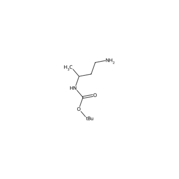 CC(CCN)NC(=O)OC(C)(C)C